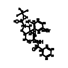 CC(C)(C)OC(=O)N1CC2CSC(NC(=O)c3ccccc3)=NC2(c2cc(Br)ccc2F)C1